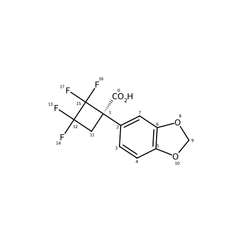 O=C(O)[C@]1(c2ccc3c(c2)OCO3)CC(F)(F)C1(F)F